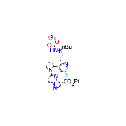 CCCCN(CCc1ncc(F)cc1C1CCCN1c1ccn2ncc(C(=O)OCC)c2n1)NC(=O)OC(C)(C)C